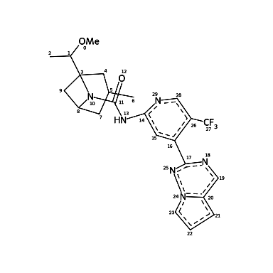 COC(C)C12CC(C)CC(C1)N2C(=O)Nc1cc(-c2ncc3cccn3n2)c(C(F)(F)F)cn1